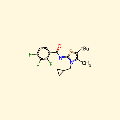 Cc1c(C(C)(C)C)s/c(=N\C(=O)c2ccc(F)c(F)c2F)n1CC1CC1